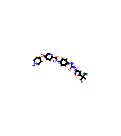 CN1CCC(Oc2ccc(C(=O)Nc3ccc(NC(=O)Nc4cc(C(C)(CF)CF)on4)cc3)nc2)CC1